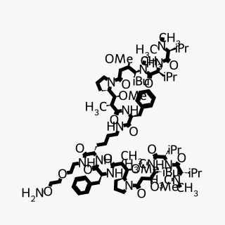 CC[C@H](C)[C@@H]([C@@H](CC(=O)N1CCC[C@H]1[C@H](OC)[C@@H](C)C(=O)N[C@@H](Cc1ccccc1)C(=O)NCCCC[C@H](NC(=O)[C@H](Cc1ccccc1)NC(=O)[C@H](C)[C@@H](OC)[C@@H]1CCCN1C(=O)C[C@@H](OC)[C@H]([C@@H](C)CC)N(C)C(=O)[C@@H](NC(=O)[C@H](C(C)C)N(C)C)C(C)C)C(=O)NCCOCCON)OC)N(C)C(=O)[C@@H](NC(=O)[C@H](C(C)C)N(C)C)C(C)C